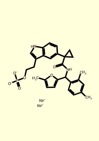 Cc1ccc(C(NC(=O)C2(c3ccc4[nH]cc(CCOP(=O)([O-])[O-])c4c3)CC2)c2ccc(C)o2)c(C)c1.[Na+].[Na+]